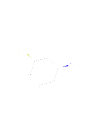 N[C@H]1CCC[C@@H](S)C1